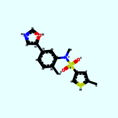 Cc1cc(S(=O)(=O)N(C)c2cc(-c3cnco3)ccc2C)cs1